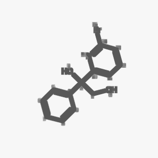 OCC(O)(c1ccccc1)c1cccc(Br)n1